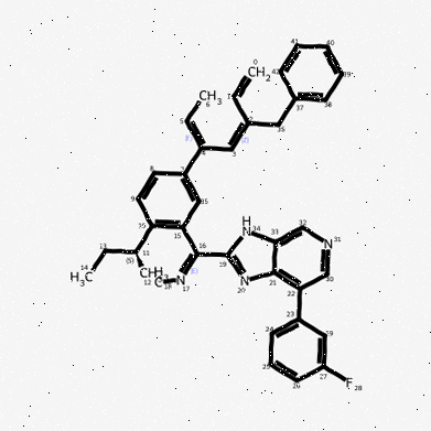 C=C/C(=C\C(=C/C)c1ccc([C@@H](C)CC)c(/C(=N\C)c2nc3c(-c4cccc(F)c4)cncc3[nH]2)c1)Cc1ccccc1